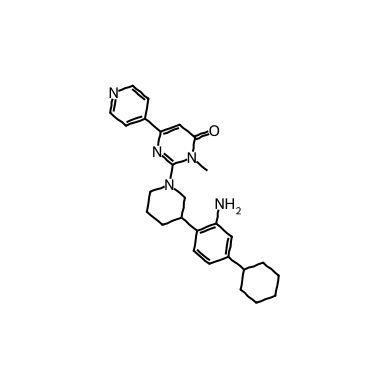 Cn1c(N2CCCC(c3ccc(C4CCCCC4)cc3N)C2)nc(-c2ccncc2)cc1=O